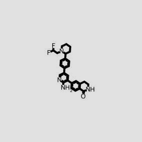 Nc1ncc(-c2ccc(C3CCCCN3CC(F)F)cc2)cc1-c1ccc2c(c1)CCNC2=O